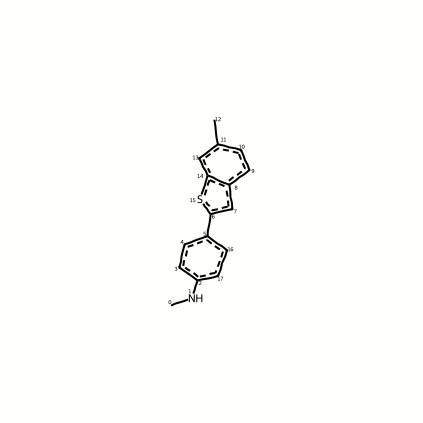 CNc1ccc(-c2cc3ccc(C)cc3s2)cc1